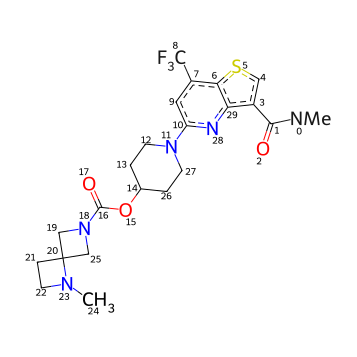 CNC(=O)c1csc2c(C(F)(F)F)cc(N3CCC(OC(=O)N4CC5(CCN5C)C4)CC3)nc12